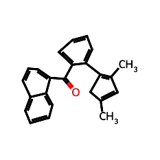 CC1=CC(C)=C(c2ccccc2C(=O)c2cccc3ccccc23)C1